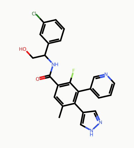 Cc1cc(C(=O)NC(CO)c2cccc(Cl)c2)c(F)c(-c2cccnc2)c1-c1cn[nH]c1